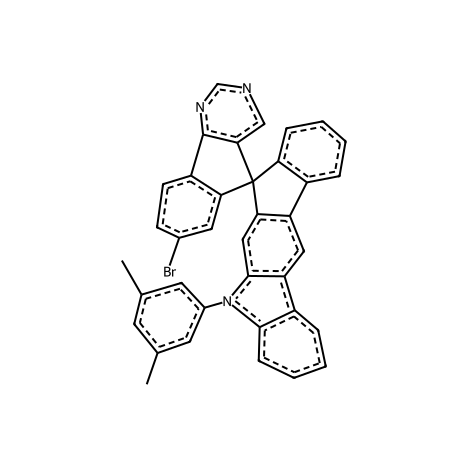 Cc1cc(C)cc(-n2c3ccccc3c3cc4c(cc32)C2(c3ccccc3-4)c3cc(Br)ccc3-c3ncncc32)c1